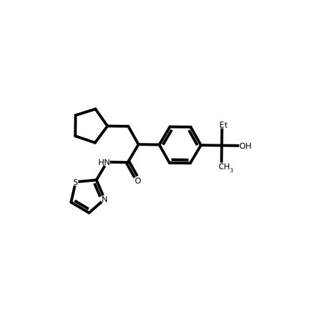 CCC(C)(O)c1ccc(C(CC2CCCC2)C(=O)Nc2nccs2)cc1